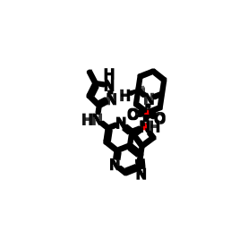 Cc1cc(Nc2cc3ncccc3c(NC3CC4CCC[C@@H](C3)N4S(=O)(=O)N3CC(C#N)C3)n2)n[nH]1